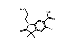 COCCN1C(=O)C(C)(C)c2cc(Cl)c(C(=O)OC)cc21